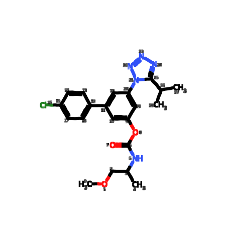 COCC(C)NC(=O)Oc1cc(-c2ccc(Cl)cc2)cc(-n2nnnc2C(C)C)c1